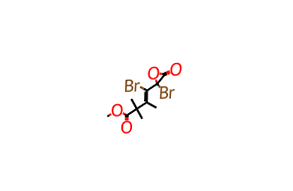 COC(=O)C(C)(C)C(C)=C(Br)C1(Br)OC1=O